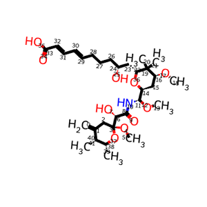 C=C1C[C@](OC)([C@H](O)C(=O)N[C@@H](OC)[C@@H]2C[C@@H](OC)C(C)(C)[C@@H](C[C@H](O)CCC/C=C/C=C/C(=O)O)O2)O[C@H](C)[C@@H]1C